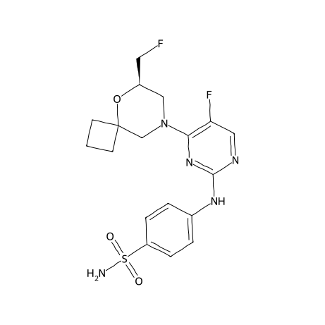 NS(=O)(=O)c1ccc(Nc2ncc(F)c(N3C[C@H](CF)OC4(CCC4)C3)n2)cc1